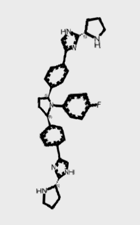 Fc1ccc(N2[C@@H](c3ccc(-c4c[nH]c([C@@H]5CCCN5)n4)cc3)CC[C@H]2c2ccc(-c3c[nH]c([C@@H]4CCCN4)n3)cc2)cc1